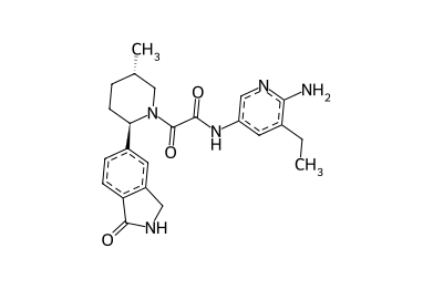 CCc1cc(NC(=O)C(=O)N2C[C@@H](C)CC[C@@H]2c2ccc3c(c2)CNC3=O)cnc1N